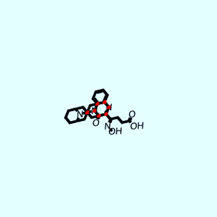 O=C(O)CC/C(=N\O)c1nc2ccccc2n(C2CC3CCCC(C2)N3C2CC3CCCC(C3)C2)c1=O